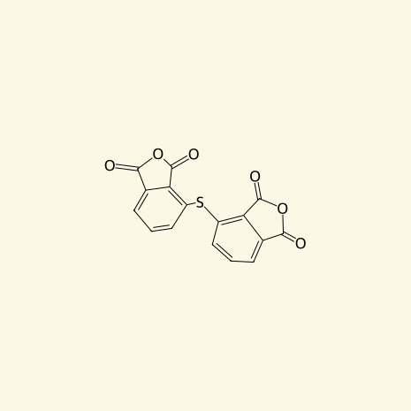 O=C1OC(=O)c2c(Sc3cccc4c3C(=O)OC4=O)cccc21